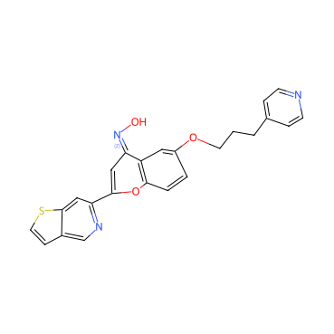 O/N=c1/cc(-c2cc3sccc3cn2)oc2ccc(OCCCc3ccncc3)cc12